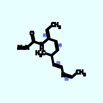 C/C=N\C=C\C(C)/C=C\C(=C/C)NC(=O)NC